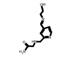 NC(=O)CNCc1cc(C=NCCO)ccn1